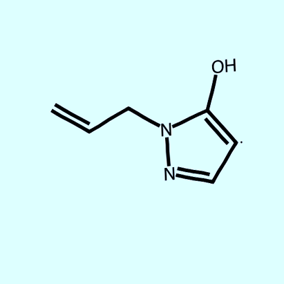 C=CCn1nc[c]c1O